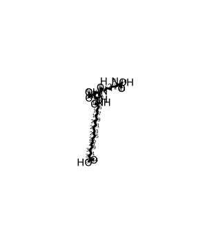 N[C@@H](CCCCNC(=O)c1cc(NC(=O)CCCCCCCCCCCCCCCCCCC(=O)O)cc(C(=O)O)c1)C(=O)O